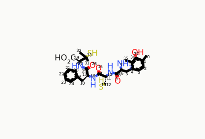 Cc1ccc(CC(N)C(=O)N[C@H](CS)C(=O)N[C@@H](Cc2ccccc2)C(=O)N[C@@H](C(=O)O)C(C)(C)S)c(C)c1O